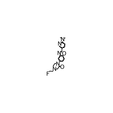 CN(C)c1ccc(-c2nc3cc(N4CCN(CCF)CC4=O)ccc3o2)cn1